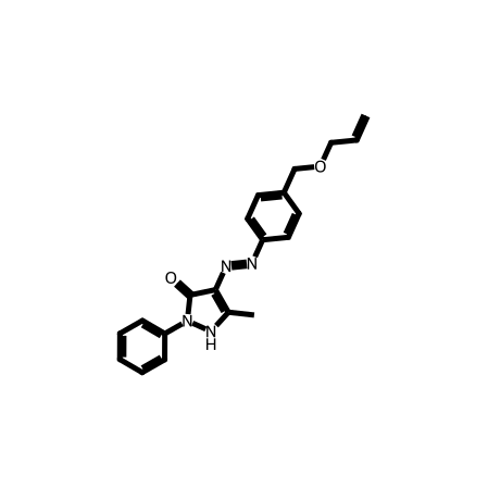 C=CCOCc1ccc(N=Nc2c(C)[nH]n(-c3ccccc3)c2=O)cc1